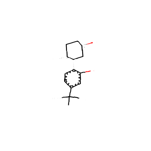 CCCCCCC(C)(C)c1ccc([C@H]2C[C@H](O)CC[C@H]2C)c(O)c1